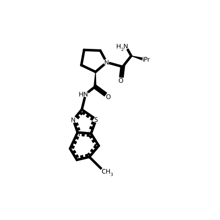 Cc1ccc2nc(NC(=O)[C@H]3CCCN3C(=O)[C@@H](N)C(C)C)sc2c1